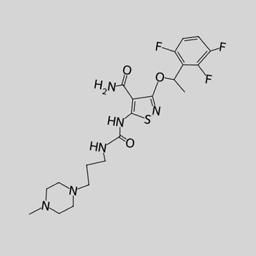 CC(Oc1nsc(NC(=O)NCCCN2CCN(C)CC2)c1C(N)=O)c1c(F)ccc(F)c1F